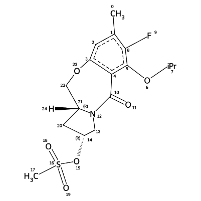 Cc1cc2c(c(OC(C)C)c1F)C(=O)N1C[C@H](OS(C)(=O)=O)C[C@@H]1CO2